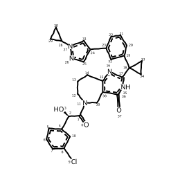 O=C([C@H](O)c1cccc(Cl)c1)N1CCCc2nc(C3(c4cccc(-c5cnn(C6CC6)c5)c4)CC3)[nH]c(=O)c2C1